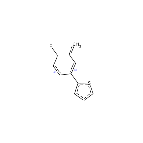 C=C/C=C(\C=C/CF)c1cccs1